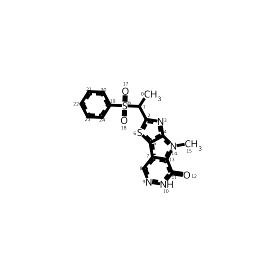 CC(c1nc2c(s1)c1cn[nH]c(=O)c1n2C)S(=O)(=O)c1ccccc1